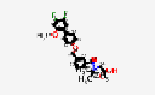 COc1cc(F)c(F)cc1-c1ccc(OCc2cccc(C(=O)N(CC(=O)O)C(C)(C)C)c2)cc1